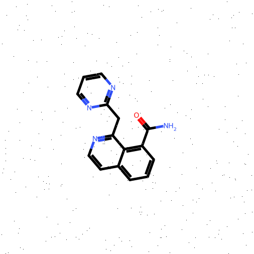 NC(=O)c1cccc2ccnc(Cc3ncccn3)c12